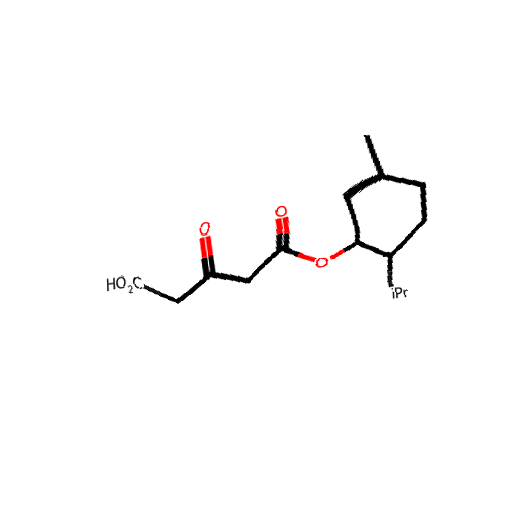 CC1CCC(C(C)C)C(OC(=O)CC(=O)CC(=O)O)C1